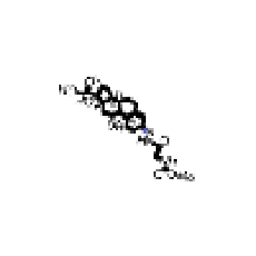 COC(=O)NCC(=O)N/N=C1\C=C[C@@]2(C)C(=C1)CC[C@@H]1C2[C@@H](O)C[C@@]2(C)C1C[C@@H](C)[C@]2(O)C(=O)CO